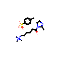 CC1=NCCN1C(=O)CCCCC[N+](C)(C)C.Cc1ccc(S(=O)(=O)[O-])cc1